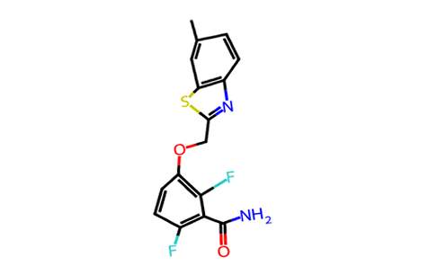 Cc1ccc2nc(COc3ccc(F)c(C(N)=O)c3F)sc2c1